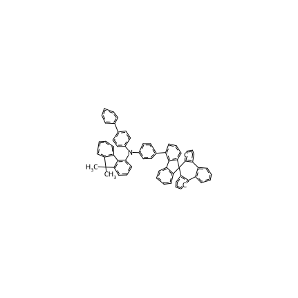 CC1(C)c2ccccc2-c2c(N(c3ccc(-c4ccccc4)cc3)c3ccc(-c4cccc5c4-c4ccccc4C54c5ccccc5-c5ccccc5-c5ccccc54)cc3)cccc21